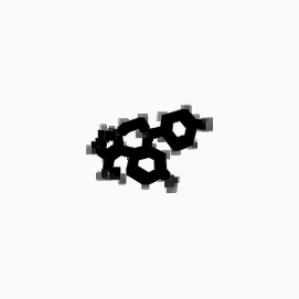 Cc1nnn2c1-c1ccc(Br)cc1N(c1ccc(Cl)cc1)CC2